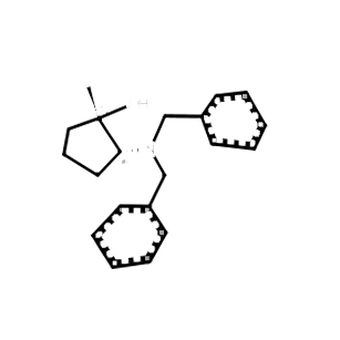 C[C@]1(O)CCC[C@H]1N(Cc1ccccc1)Cc1ccccc1